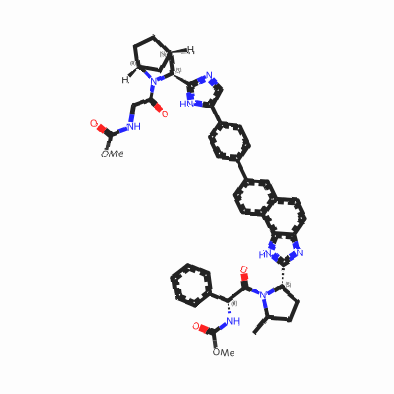 COC(=O)NCC(=O)N1[C@@H]2CC[C@@H](C2)[C@H]1c1ncc(-c2ccc(-c3ccc4c(ccc5nc([C@@H]6CCC(C)N6C(=O)[C@H](NC(=O)OC)c6ccccc6)[nH]c54)c3)cc2)[nH]1